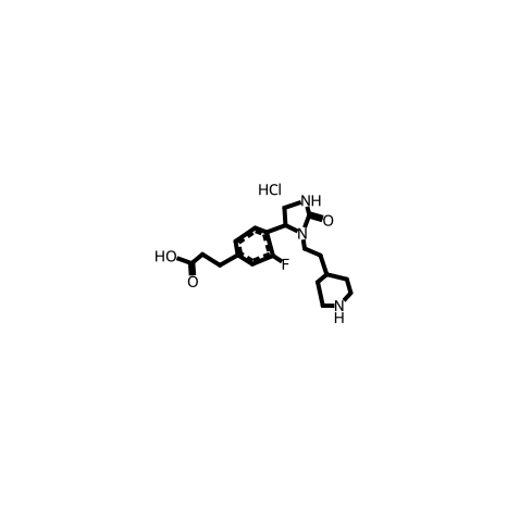 Cl.O=C(O)CCc1ccc(C2CNC(=O)N2CCC2CCNCC2)c(F)c1